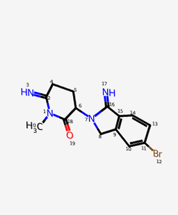 CN1C(=N)CCC(N2Cc3cc(Br)ccc3C2=N)C1=O